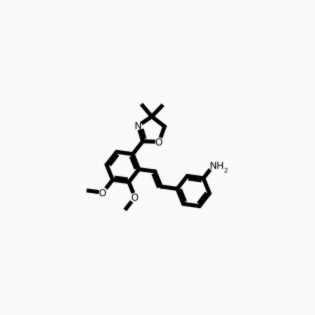 COc1ccc(C2=NC(C)(C)CO2)c(/C=C/c2cccc(N)c2)c1OC